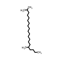 CCCCC(C)[CH]CCCCCCCCCCCCC(C)C